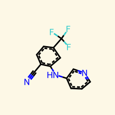 N#Cc1ccc(C(F)(F)F)cc1Nc1cccnc1